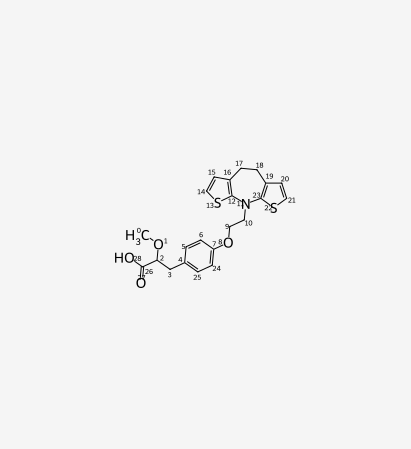 COC(Cc1ccc(OCCN2c3sccc3CCc3ccsc32)cc1)C(=O)O